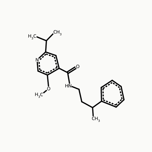 COc1cnc(C(C)C)cc1C(=O)NCCC(C)c1ccccc1